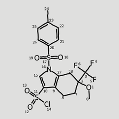 COC1(C(F)(F)F)CCc2c(S(=O)(=O)Cl)cn(S(=O)(=O)c3ccc(C)cc3)c2C1